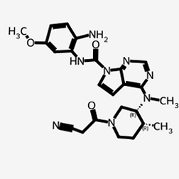 COc1ccc(N)c(NC(=O)n2ccc3c(N(C)[C@H]4CN(C(=O)CC#N)CC[C@H]4C)ncnc32)c1